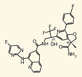 C[C@]1(C(N)=O)COc2c1cc([C@@](O)(CNC(=O)c1cc(Nc3ncc(F)cn3)c3ncccc3c1)C(F)(F)F)nc2-c1ccc(F)cc1